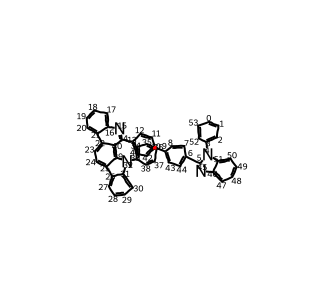 c1ccc(-n2c(-c3ccc(-c4ccc(-c5nc6ccccc6c6ccc7c8ccccc8n(-c8ccccc8)c7c56)cc4)cc3)nc3ccccc32)cc1